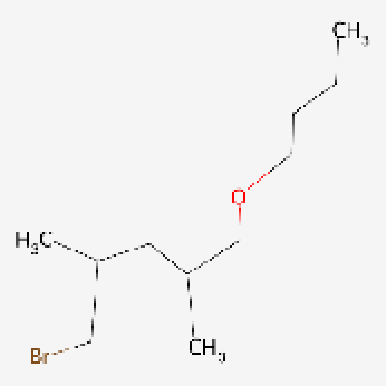 CCCCOCC(C)CC(C)CBr